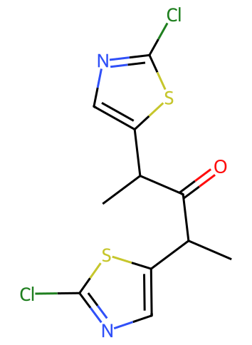 CC(C(=O)C(C)c1cnc(Cl)s1)c1cnc(Cl)s1